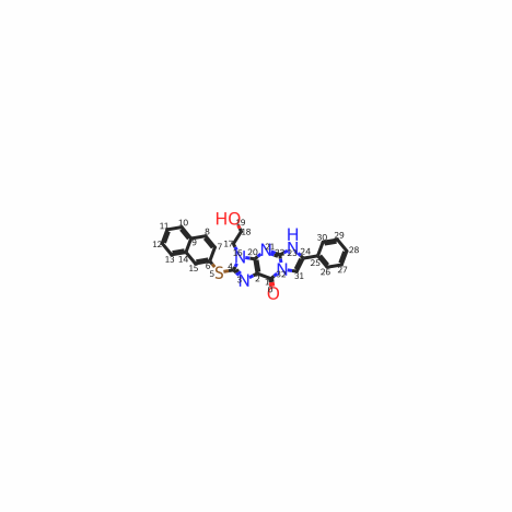 O=c1c2nc(Sc3ccc4ccccc4c3)n(CCO)c2nc2[nH]c(-c3ccccc3)cn12